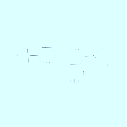 CC(=O)N1c2ccc(-c3ccc(S(C)(=O)=O)cc3)cc2N(C=O)CC1C